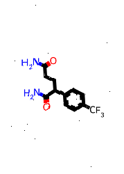 NC(=O)CCC(C(N)=O)c1ccc(C(F)(F)F)cc1